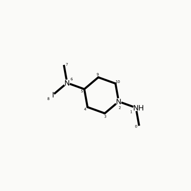 CNN1CCC(N(C)I)CC1